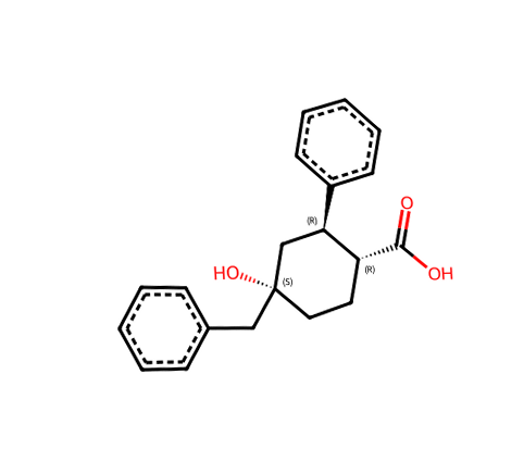 O=C(O)[C@@H]1CC[C@@](O)(Cc2ccccc2)C[C@H]1c1ccccc1